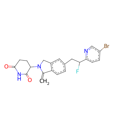 C=C1c2ccc(CC(F)c3ccc(Br)cn3)cc2CN1C1CCC(=O)NC1=O